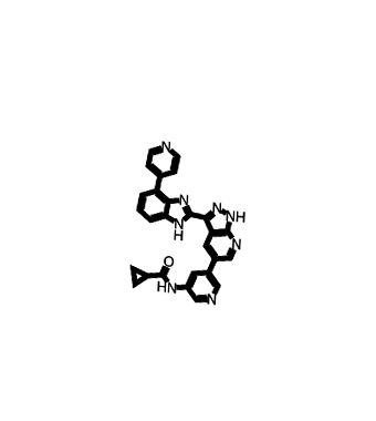 O=C(Nc1cncc(-c2cnc3[nH]nc(-c4nc5c(-c6ccncc6)cccc5[nH]4)c3c2)c1)C1CC1